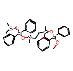 CO[Si](O[Si](C)(C)CC[Si](C)(C)O[Si](O[SiH](C)C)(c1ccccc1)c1ccccc1)(c1ccccc1)c1ccccc1